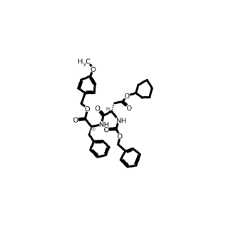 COc1ccc(COC(=O)[C@H](Cc2ccccc2)NC(=O)[C@H](CC(=O)OC2CCCCC2)NC(=O)OCc2ccccc2)cc1